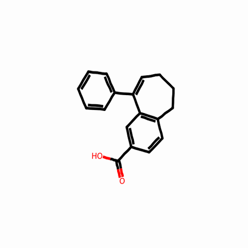 O=C(O)c1ccc2c(c1)C(c1ccccc1)=CCCC2